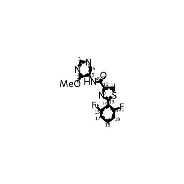 COc1ncncc1NC(=O)c1csc(-c2c(F)cccc2F)n1